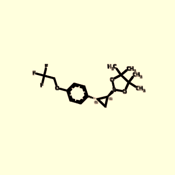 CC1(C)OB([C@H]2C[C@@H]2c2ccc(OCC(F)(F)F)cc2)OC1(C)C